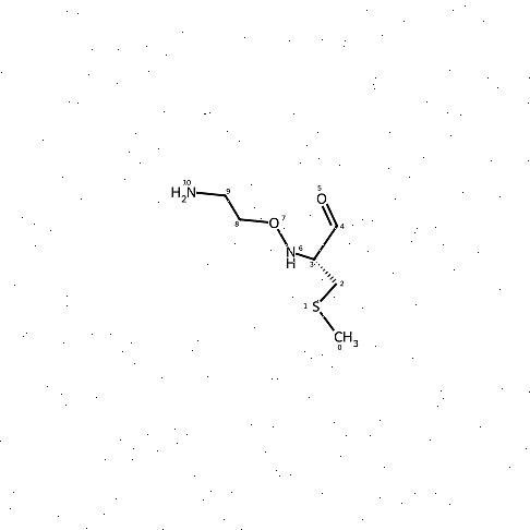 CSC[C@@H](C=O)NOCCN